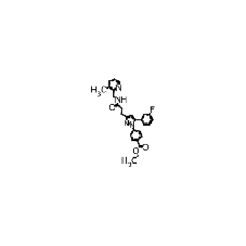 CCOC(=O)c1ccc(-n2nc(CCC(=O)NCc3ncccc3C)cc2-c2cccc(F)c2)cc1